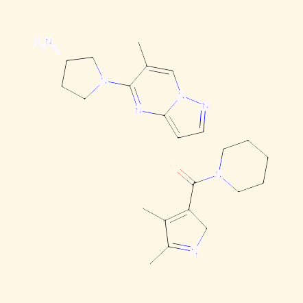 CC1=NCC(C(=O)N2CCCC[C@H]2c2cc3nc(N4CC[C@H](N)C4)c(C)cn3n2)=C1C